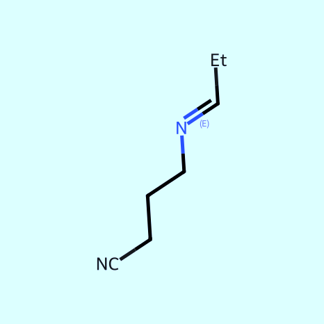 CC/C=N/CCCC#N